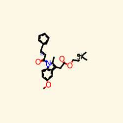 COc1ccc2c(c1)c(CC(=O)OCC[Si](C)(C)C)c(C)n2C(=O)/C=C/c1ccccc1